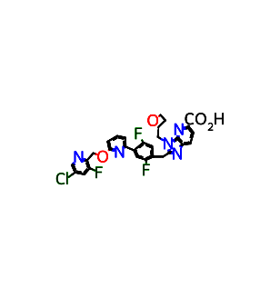 O=C(O)c1ccc2nc(Cc3cc(F)c(-c4cccc(OCc5ncc(Cl)cc5F)n4)cc3F)n(C[C@@H]3CCO3)c2n1